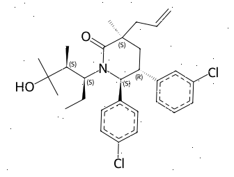 C=CC[C@@]1(C)C[C@H](c2cccc(Cl)c2)[C@@H](c2ccc(Cl)cc2)N([C@@H](CC)[C@H](C)C(C)(C)O)C1=O